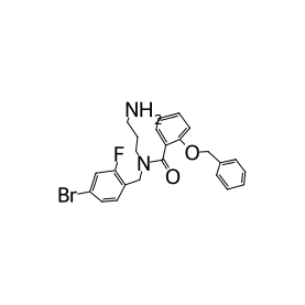 NCCCN(Cc1ccc(Br)cc1F)C(=O)c1ccccc1OCc1ccccc1